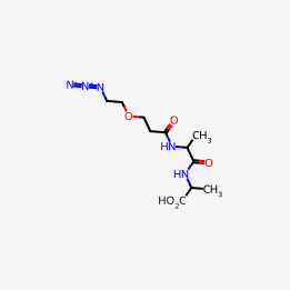 CC(NC(=O)C(C)NC(=O)CCOCCN=[N+]=[N-])C(=O)O